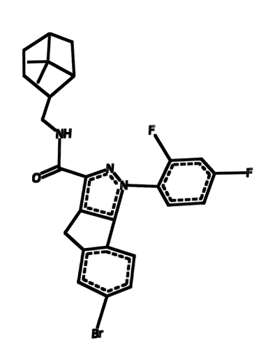 CC1(C)C2CCC(CNC(=O)c3nn(-c4ccc(F)cc4F)c4c3Cc3cc(Br)ccc3-4)C1C2